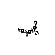 CC(=O)N(C)c1ccc(NC(=O)Nc2ccc(-c3nc(N4CCOCC4)c4ccc(-c5ccccn5)cc4n3)cc2)cc1